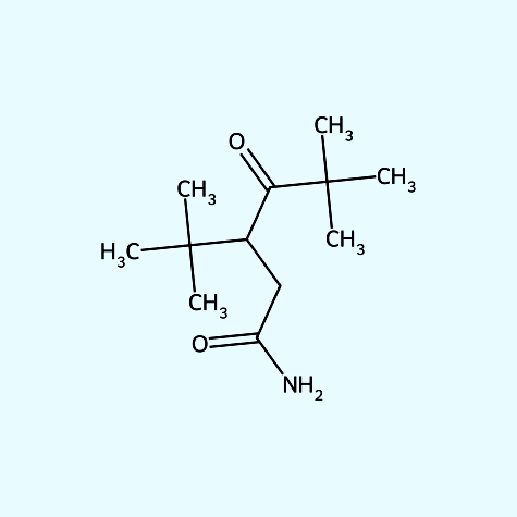 CC(C)(C)C(=O)C(CC(N)=O)C(C)(C)C